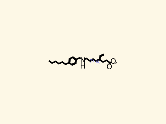 C=C/C(=C\C=C\CNCc1ccc(CCCCCC)cc1)CCC(=O)OC